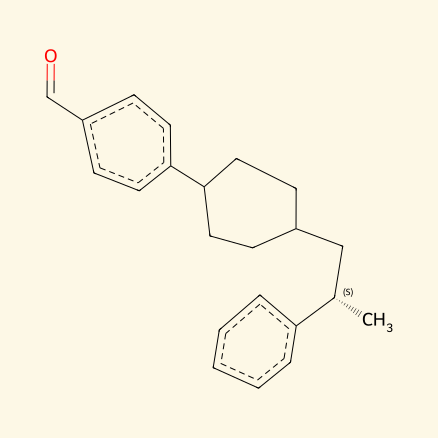 C[C@@H](CC1CCC(c2ccc(C=O)cc2)CC1)c1ccccc1